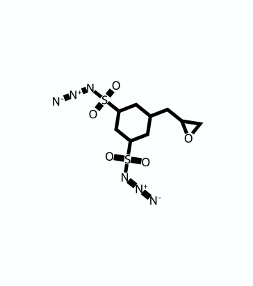 [N-]=[N+]=NS(=O)(=O)C1CC(CC2CO2)CC(S(=O)(=O)N=[N+]=[N-])C1